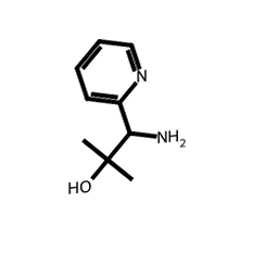 CC(C)(O)C(N)c1ccccn1